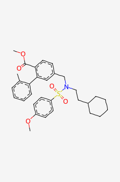 COC(=O)c1ccc(CN(CCC2CCCCC2)S(=O)(=O)c2ccc(OC)cc2)cc1-c1ccccc1C